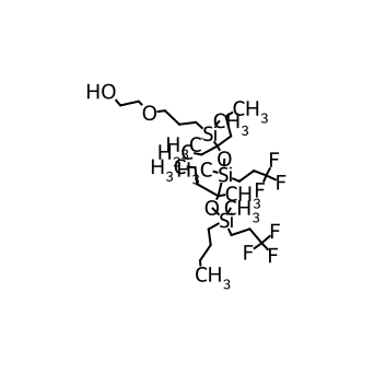 CCCC[Si](C)(CCC(F)(F)F)OC(C)(CCC)[Si](C)(CCC(F)(F)F)OC(CC)(CCC)[Si](C)(C)CCCOCCO